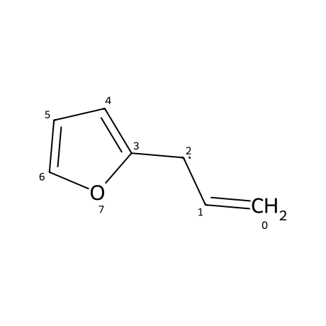 C=C[CH]c1ccco1